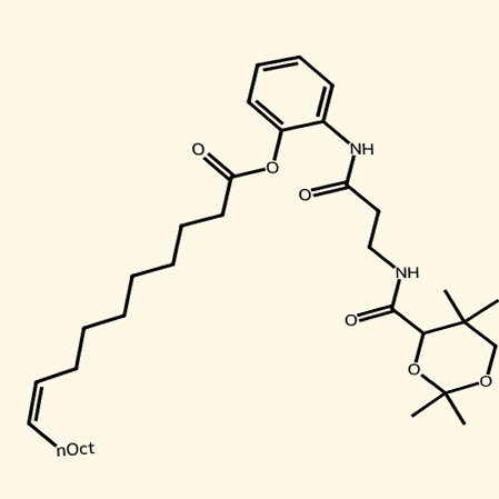 CCCCCCCC/C=C\CCCCCCCC(=O)Oc1ccccc1NC(=O)CCNC(=O)C1OC(C)(C)OCC1(C)C